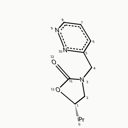 CC(C)[C@H]1CN(Cc2cccnn2)C(=O)O1